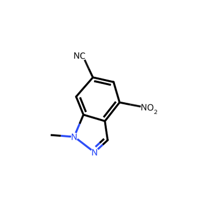 Cn1ncc2c([N+](=O)[O-])cc(C#N)cc21